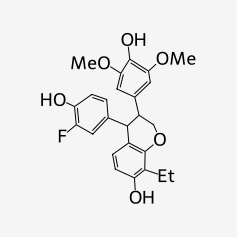 CCc1c(O)ccc2c1OCC(c1cc(OC)c(O)c(OC)c1)C2c1ccc(O)c(F)c1